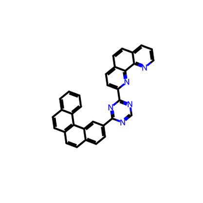 c1ccc2c(c1)ccc1ccc3ccc(-c4ncnc(-c5ccc6ccc7cccnc7c6n5)n4)cc3c12